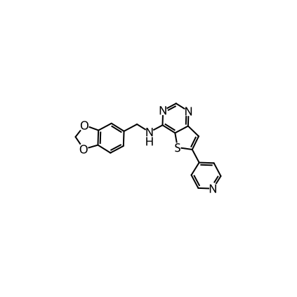 c1cc(-c2cc3ncnc(NCc4ccc5c(c4)OCO5)c3s2)ccn1